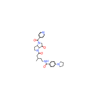 CC(CCNC(=O)c1ccc(N2CCCC2)cc1)CC(=O)N1CCC2C1C(=O)CN2C(=O)c1ccncc1